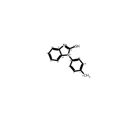 Cc1ccc(-n2c(S)nc3ccccc32)cc1